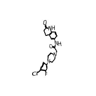 O=C(CN1CCN(c2ccc(Cl)c(F)c2)CC1)Nc1ccc2c(c1)CCC(=O)N2